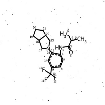 CC(C)C(=O)Nc1ccc(C(F)(F)F)cc1N1CC2CCCC2C1